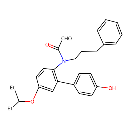 CCC(CC)Oc1ccc(N(CCCc2ccccc2)C(=O)C=O)c(-c2ccc(O)cc2)c1